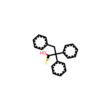 OC(=S)C(Cc1ccccc1)(c1ccccc1)c1ccccc1